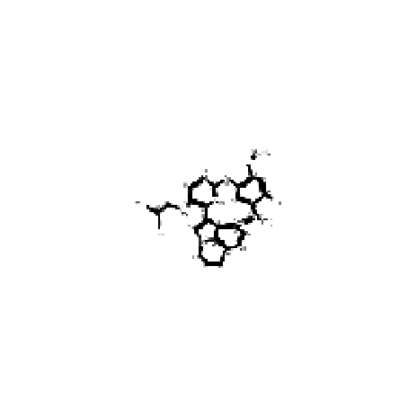 COc1cc(F)c([N+](=O)[O-])cc1Nc1ncc(OCC(F)F)c(-c2cn3c4c(cccc24)CCC3)n1